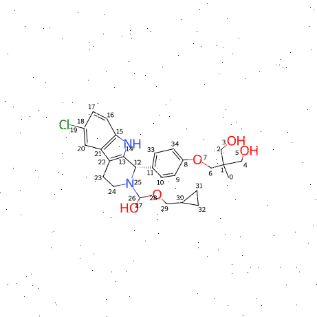 CC(CO)(CO)COc1ccc([C@H]2c3[nH]c4ccc(Cl)cc4c3CCN2C(O)OCC2CC2)cc1